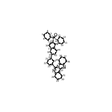 O=P(c1ccccc1)(c1ccccc1)c1ccc2cc(-c3cccc(-c4nc5ccccc5c5nc6ccccc6n45)c3)ccc2c1